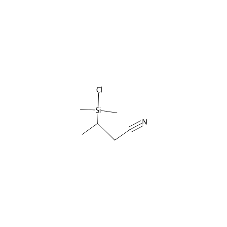 CC(CC#N)[Si](C)(C)Cl